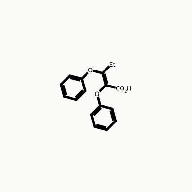 CCC(Oc1ccccc1)=C(Oc1ccccc1)C(=O)O